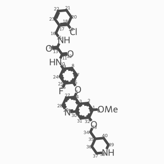 COc1cc2c(Oc3ccc(NC(=O)C(=O)NCC4=C(Cl)CCC=C4)cc3F)ccnc2cc1OCC1CCNCC1